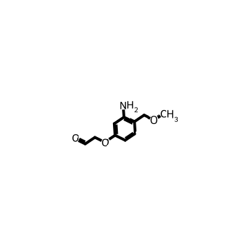 COCc1ccc(OCC=O)cc1N